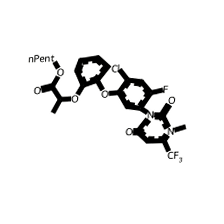 CCCCCOC(=O)C(C)Oc1ccccc1Oc1cc(-n2c(=O)cc(C(F)(F)F)n(C)c2=O)c(F)cc1Cl